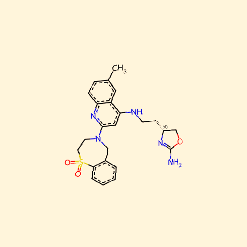 Cc1ccc2nc(N3CCS(=O)(=O)c4ccccc4C3)cc(NCC[C@@H]3COC(N)=N3)c2c1